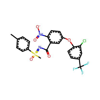 Cc1ccc(S(C)(=O)=NC(=O)c2cc(Oc3ccc(C(F)(F)F)cc3Cl)ccc2[N+](=O)[O-])cc1